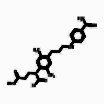 CCC(=O)N(CCC(=O)OC)c1cc(C)c(CCCNc2ccc(C(=N)N)cc2)cc1C